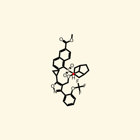 COC(=O)c1ccc2c(S(=O)(=O)NC3C4CCC3CC(OCc3c(-c5ccccc5OC(F)(F)F)noc3C3CC3)C4)cccc2c1